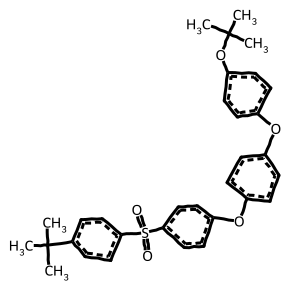 CC(C)(C)Oc1ccc(Oc2ccc(Oc3ccc(S(=O)(=O)c4ccc(C(C)(C)C)cc4)cc3)cc2)cc1